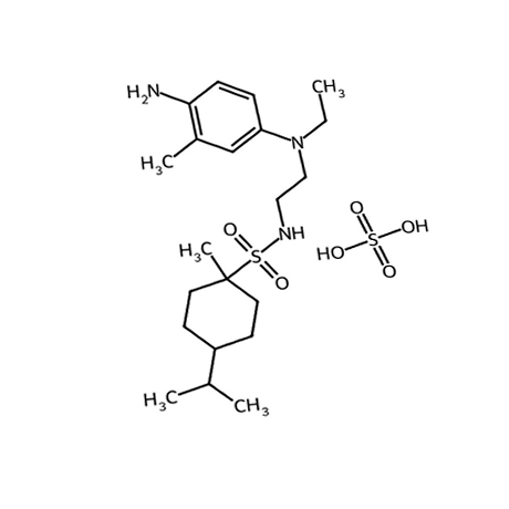 CCN(CCNS(=O)(=O)C1(C)CCC(C(C)C)CC1)c1ccc(N)c(C)c1.O=S(=O)(O)O